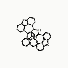 C1=Cc2oc3cccc(-c4ccc5ccccc5c4)c3c2C(C2N=C(c3ccccc3)N=C(c3cccc4oc5ccccc5c34)N2)C1